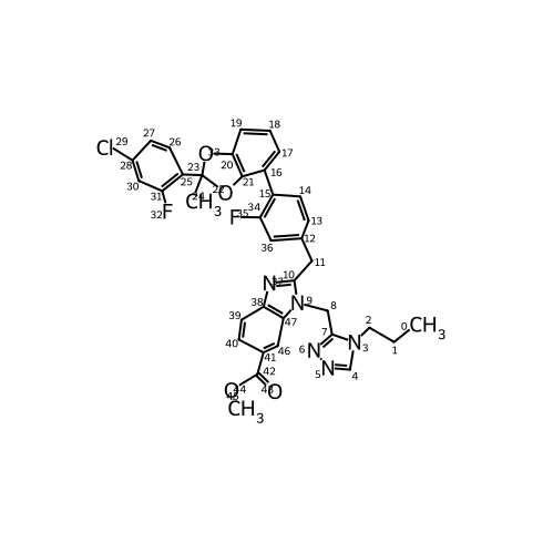 CCCn1cnnc1Cn1c(Cc2ccc(-c3cccc4c3OC(C)(c3ccc(Cl)cc3F)O4)c(F)c2)nc2ccc(C(=O)OC)cc21